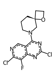 Fc1c(Cl)ncc2c(N3CCC[C@]4(CCO4)C3)nc(Cl)nc12